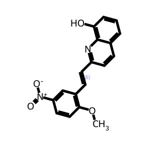 COc1ccc([N+](=O)[O-])cc1/C=C/c1ccc2cccc(O)c2n1